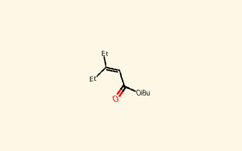 CCC(=CC(=O)OCC(C)C)CC